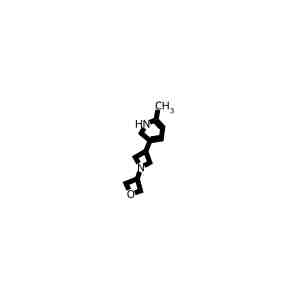 CC1=CC=C(C2CN(C3COC3)C2)CN1